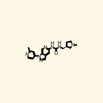 Cc1cc(-n2ncc3cc(NC(=O)NC[C@H]4CCN(C)C4)ncc32)ccn1